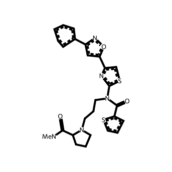 CNC(=O)C1CCCN1CCCN(C(=O)c1cccs1)c1nc(-c2cc(-c3ccccc3)no2)cs1